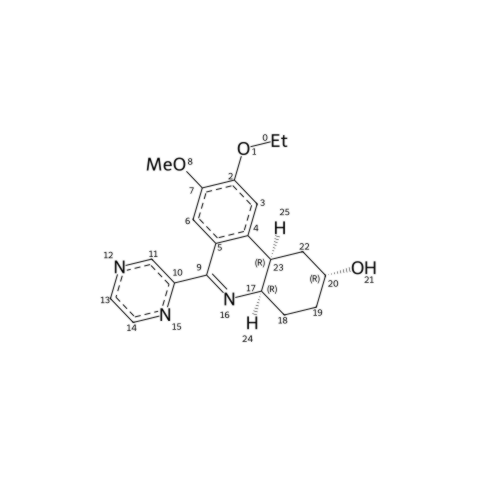 CCOc1cc2c(cc1OC)C(c1cnccn1)=N[C@@H]1CC[C@@H](O)C[C@H]21